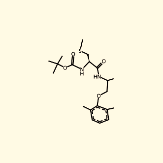 CSC[C@H](NC(=O)OC(C)(C)C)C(=O)NC(C)COc1c(C)cccc1C